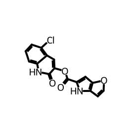 O=C(Oc1cc2c(Cl)cccc2[nH]c1=O)c1cc2occc2[nH]1